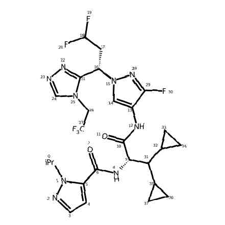 CC(C)n1nccc1C(=O)N[C@H](C(=O)Nc1cn([C@@H](CC(F)F)c2nncn2CC(F)(F)F)nc1F)C(C1CC1)C1CC1